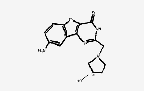 Bc1ccc2oc3c(=O)[nH]c(CN4CC[C@H](O)C4)nc3c2c1